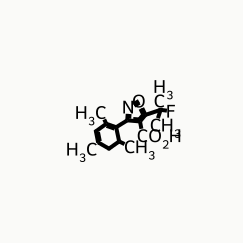 CC1=CC(C)=C(c2noc(C(C)(C)F)c2C(=O)O)C(C)C1